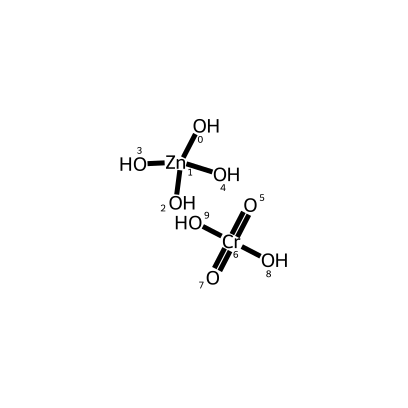 [OH][Zn]([OH])([OH])[OH].[O]=[Cr](=[O])([OH])[OH]